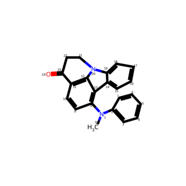 CN(c1ccccc1)c1ccc2c3c1c1ccccc1n3CCC2=O